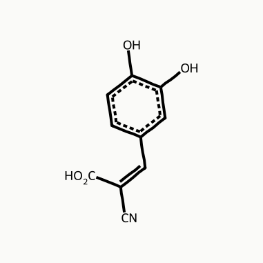 N#CC(=Cc1ccc(O)c(O)c1)C(=O)O